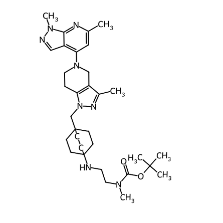 Cc1cc(N2CCc3c(c(C)nn3CC34CCC(NCCN(C)C(=O)OC(C)(C)C)(CC3)CC4)C2)c2cnn(C)c2n1